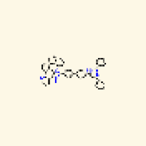 C1=C(c2ccc(-c3ccc(C4Nc5c(c6ccccc6c6ncccc56)N4c4cccc5ccccc45)cc3)cc2)NC(c2ccccc2)N=C1c1ccccc1